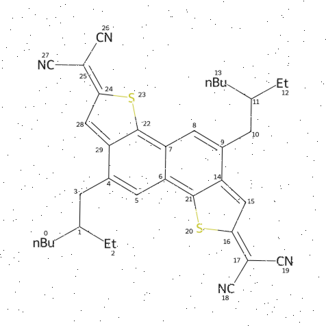 CCCCC(CC)Cc1cc2c(cc(CC(CC)CCCC)c3cc(=C(C#N)C#N)sc32)c2sc(=C(C#N)C#N)cc12